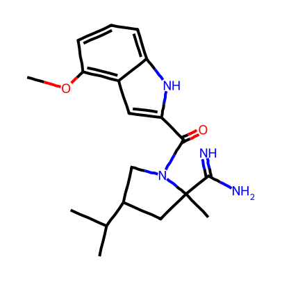 COc1cccc2[nH]c(C(=O)N3CC(C(C)C)CC3(C)C(=N)N)cc12